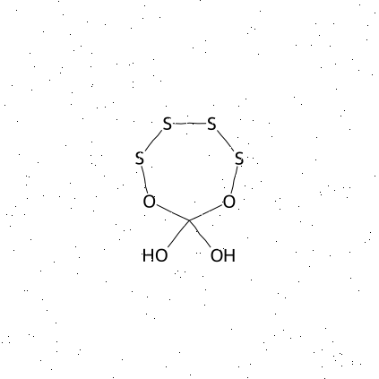 OC1(O)OSSSSO1